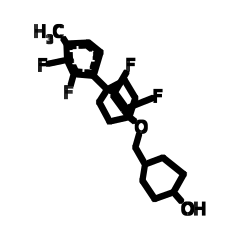 Cc1ccc(C23CCC(OCC4CCC(O)CC4)(CC2)C(F)=C3F)c(F)c1F